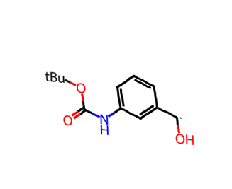 CC(C)(C)OC(=O)Nc1cccc([CH]O)c1